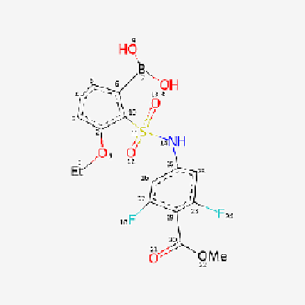 CCOc1cccc(B(O)O)c1S(=O)(=O)Nc1cc(F)c(C(=O)OC)c(F)c1